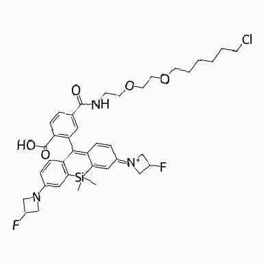 C[Si]1(C)C2=CC(=[N+]3CC(F)C3)C=CC2=C(c2cc(C(=O)NCCOCCOCCCCCCCl)ccc2C(=O)O)c2ccc(N3CC(F)C3)cc21